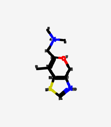 CC1=C(CN(C)C)OCc2ncsc21